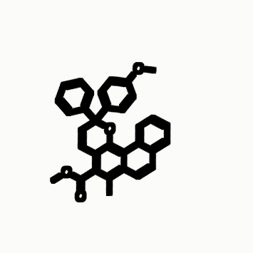 COC(=O)c1c2c(c3c(ccc4ccccc43)c1C)OC(c1ccccc1)(c1ccc(OC)cc1)C=C2